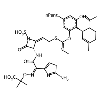 C=C(C)[C@@H]1CCC(C)=C[C@H]1c1c(O)cc(CCCCC)cc1O/C(=N\C)SC/C=C1\[C@H](NC(=O)/C(=N\OC(C)(C)C(=O)O)C2=CCC(N)=N2)C(=O)N1S(=O)(=O)O